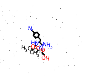 CC(C)(C)OC(=O)NC(Cc1ccc(C#N)cc1)/C(N)=N/OCCO